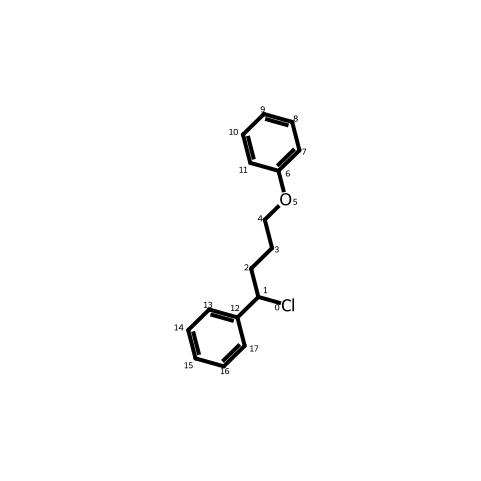 ClC(CCCOc1ccccc1)c1ccccc1